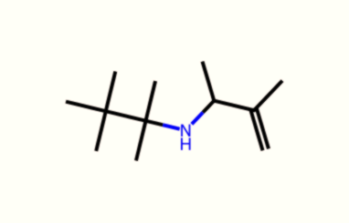 C=C(C)C(C)NC(C)(C)C(C)(C)C